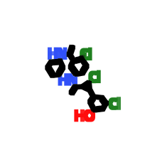 C=C(Nc1ccccc1)c1cc(NC(=C)C2C(Cl)C2c2cc(O)cc(Cl)c2)ccc1Cl